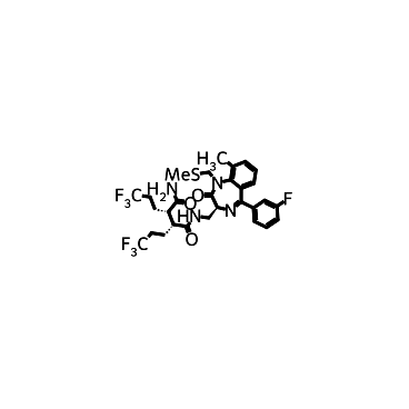 CSCN1C(=O)[C@H](CNC(=O)[C@H](CCC(F)(F)F)[C@H](CCC(F)(F)F)C(N)=O)N=C(c2cccc(F)c2)c2cccc(C)c21